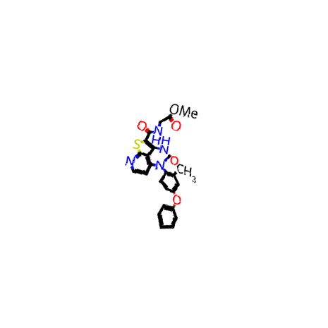 COC(=O)CNC(=O)c1sc2nccc3c2c1NC(=O)N3c1ccc(Oc2ccccc2)cc1C